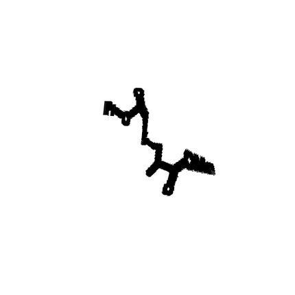 COC(=O)C(C)CSCC(=O)OC(C)C